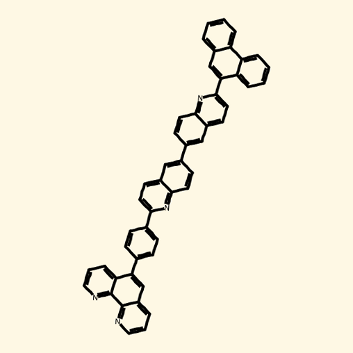 c1ccc2c(c1)cc(-c1ccc3cc(-c4ccc5nc(-c6ccc(-c7cc8cccnc8c8ncccc78)cc6)ccc5c4)ccc3n1)c1ccccc12